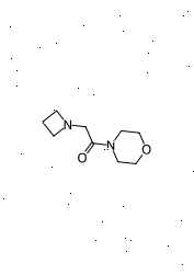 O=C(CN1CCC1)N1CCOCC1